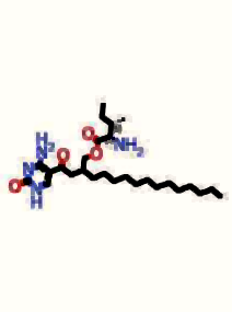 CCCCCCCCCCCCCC(COC(=O)[C@@H](N)[C@@H](C)CC)CC(=O)c1c[nH]c(=O)nc1N